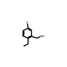 CCc1ccc(F)cc1CO